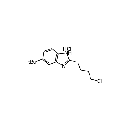 CC(C)(C)c1ccc2[nH]c(CCCCCl)nc2c1.Cl